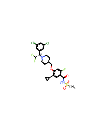 CS(=O)(=O)NC(=O)c1cc(C2CC2)c(OCC2CCN([C@@H](c3cc(Cl)cc(Cl)c3)C(F)F)CC2)cc1F